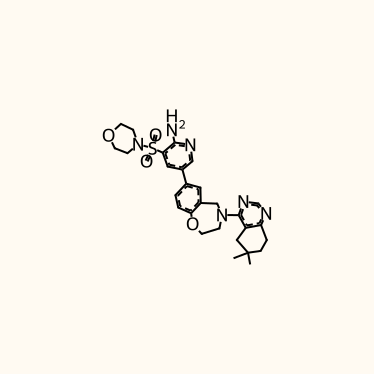 CC1(C)CCc2ncnc(N3CCOc4ccc(-c5cnc(N)c(S(=O)(=O)N6CCOCC6)c5)cc4C3)c2C1